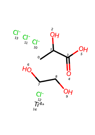 CC(O)C(=O)O.OCCO.[Cl-].[Cl-].[Cl-].[Cl-].[Ti+4]